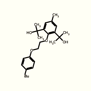 CCC(C)c1ccc(OCCOc2c(C(C)(C)O)cc(C)cc2C(C)(C)O)cc1